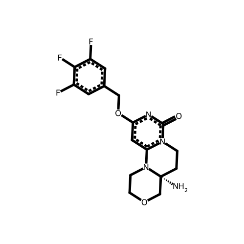 N[C@@]12CCn3c(cc(OCc4cc(F)c(F)c(F)c4)nc3=O)N1CCOC2